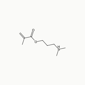 C=C(C)C(=O)OCCC[SiH](C)C